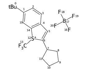 CC(C)(C)c1ccc2cc(C3CCCC3)[s+](C(F)(F)F)c2c1.F[B-](F)(F)F